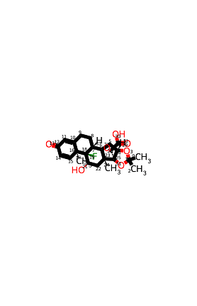 CC1(C)O[C@@H]2CC3[C@@H]4CCC5=CC(=O)C=C[C@]5(C)[C@@]4(F)[C@@H](O)C[C@]3(C)[C@]2(C(=O)C(=O)O)O1